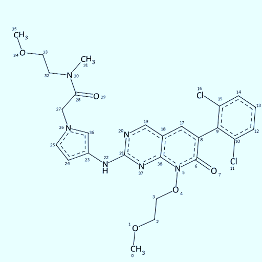 COCCOn1c(=O)c(-c2c(Cl)cccc2Cl)cc2cnc(Nc3ccn(CC(=O)N(C)CCOC)c3)nc21